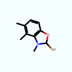 Cc1ccc2c(c1C)N(C)C(S)O2